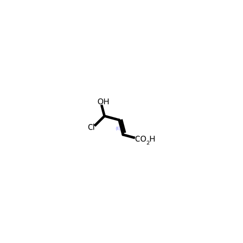 O=C(O)/C=C/C(O)Cl